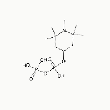 CN1C(C)(C)CC(OP(=O)(O)OP(=O)(O)O)CC1(C)C